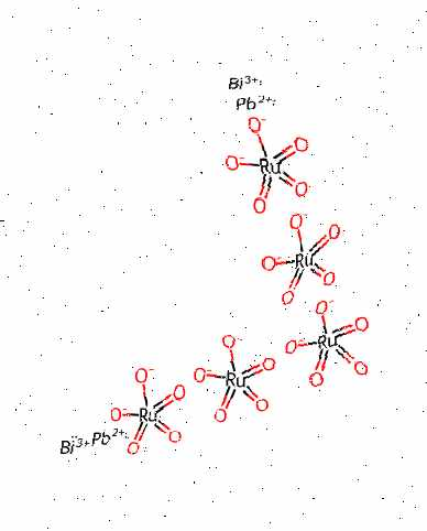 [Bi+3].[Bi+3].[O]=[Ru](=[O])(=[O])([O-])[O-].[O]=[Ru](=[O])(=[O])([O-])[O-].[O]=[Ru](=[O])(=[O])([O-])[O-].[O]=[Ru](=[O])(=[O])([O-])[O-].[O]=[Ru](=[O])(=[O])([O-])[O-].[Pb+2].[Pb+2]